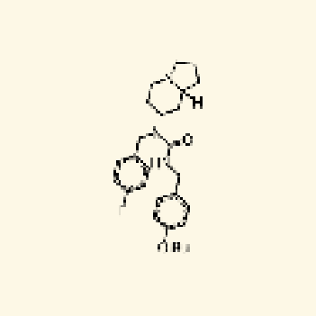 CC(C)COc1ccc(CNC(=O)N(Cc2ccc(F)cc2)[C@@H]2CCN3CCC[C@@H]3C2)cc1